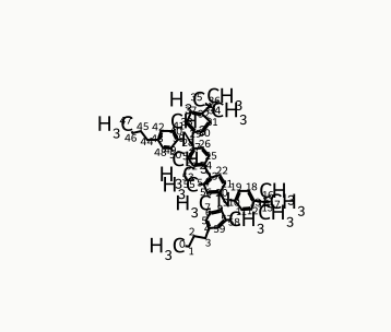 CCCCc1cc(C)c(N(c2ccc(C(C)(C)C)cc2)c2ccc(-c3ccc(N(c4ccc(C(C)(C)C)cc4)c4c(C)cc(CCCC)cc4C)cc3C)c(C)c2)c(C)c1